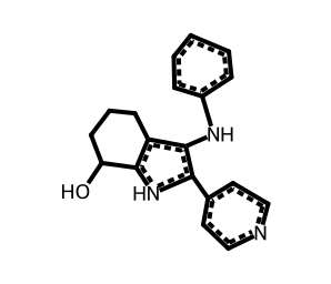 OC1CCCc2c1[nH]c(-c1ccncc1)c2Nc1ccccc1